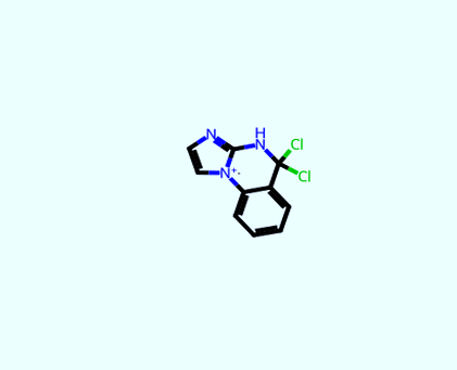 ClC1(Cl)NC2=NC=C[N+]2c2ccccc21